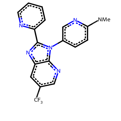 CNc1ccc(-n2c(-c3ccccn3)nc3cc(C(F)(F)F)cnc32)cn1